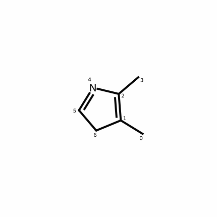 CC1=C(C)N=CC1